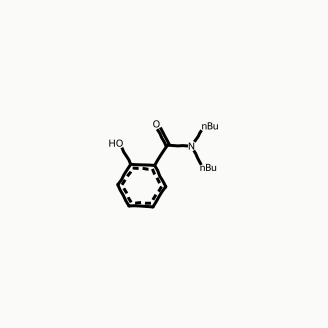 CCCCN(CCCC)C(=O)c1ccccc1O